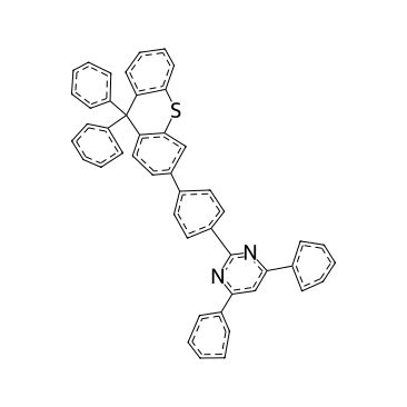 c1ccc(-c2cc(-c3ccccc3)nc(-c3ccc(-c4ccc5c(c4)Sc4ccccc4C5(c4ccccc4)c4ccccc4)cc3)n2)cc1